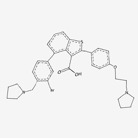 O=C(O)c1c(-c2ccc(OCCN3CCCC3)cc2)sc2cccc(-c3ccc(CN4CCCC4)c(Br)c3)c12